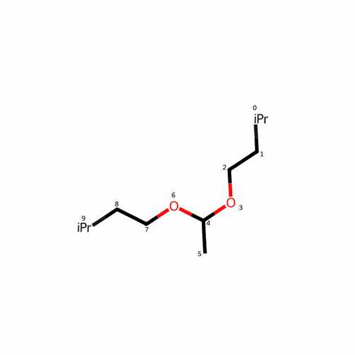 CC(C)CCOC(C)OCCC(C)C